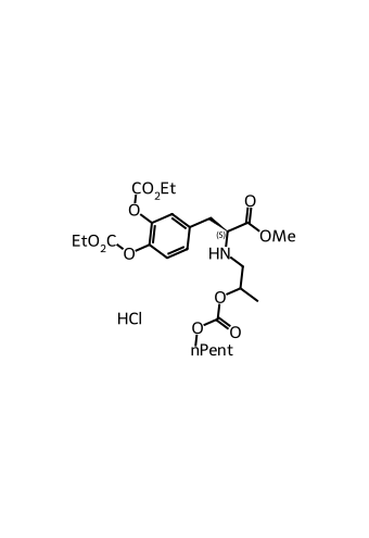 CCCCCOC(=O)OC(C)CN[C@@H](Cc1ccc(OC(=O)OCC)c(OC(=O)OCC)c1)C(=O)OC.Cl